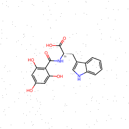 O=C(N[C@@H](Cc1c[nH]c2ccccc12)C(=O)O)c1c(O)cc(O)cc1O